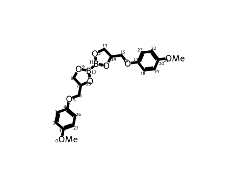 COc1ccc(OCC2COB(B3OCC(COc4ccc(OC)cc4)O3)O2)cc1